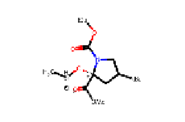 COC(=O)[C@]1(O[SiH](C)C)CC(C(C)(C)C)CN1C(=O)OC(C)(C)C